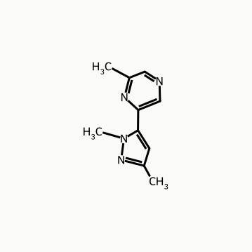 Cc1cncc(-c2cc(C)nn2C)n1